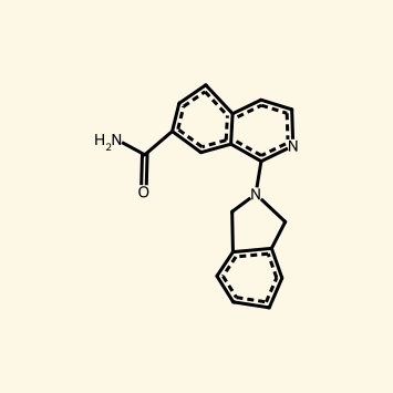 NC(=O)c1ccc2ccnc(N3Cc4ccccc4C3)c2c1